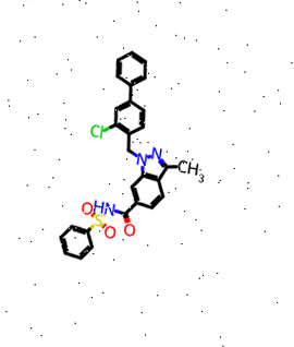 Cc1nn(Cc2ccc(-c3ccccc3)cc2Cl)c2cc(C(=O)NS(=O)(=O)c3ccccc3)ccc12